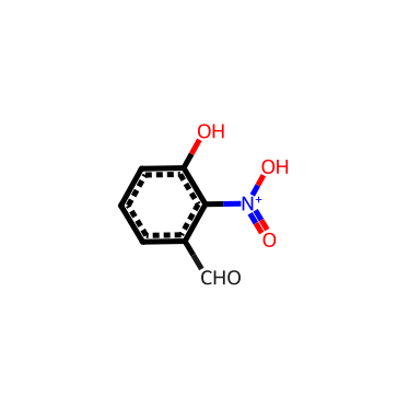 O=Cc1cccc(O)c1[N+](=O)O